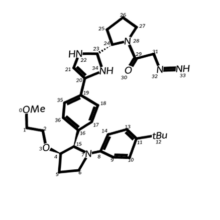 COCCO[C@@H]1CCN(c2ccc(C(C)(C)C)cc2)[C@@H]1c1ccc(C2=CNC([C@@H]3CCCN3C(=O)CN=N)N2)cc1